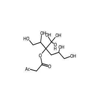 CC(=O)CC(=O)OC(CC(O)CO)(C(O)CO)C(O)(O)O